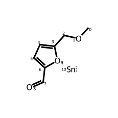 COCc1ccc(C=O)o1.[Sn]